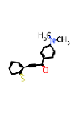 CN(C)c1ccc(C(=O)C#CC2=CC=CCC2=S)cc1